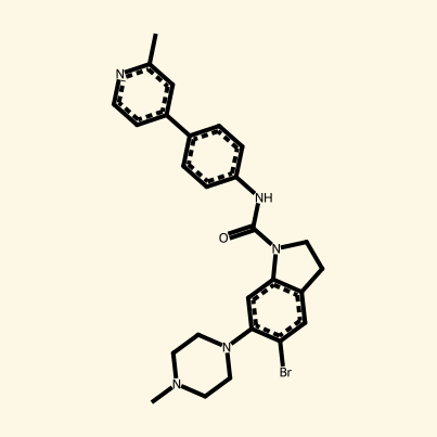 Cc1cc(-c2ccc(NC(=O)N3CCc4cc(Br)c(N5CCN(C)CC5)cc43)cc2)ccn1